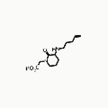 C=CCCCNC1CCCN(CC(=O)O)C1=O